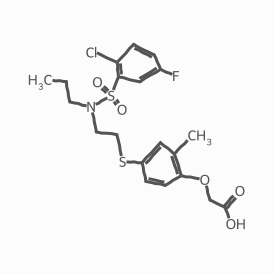 CCCN(CCSc1ccc(OCC(=O)O)c(C)c1)S(=O)(=O)c1cc(F)ccc1Cl